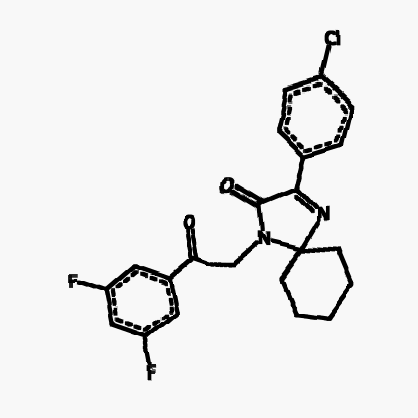 O=C(CN1C(=O)C(c2ccc(Cl)cc2)=NC12CCCCC2)c1cc(F)cc(F)c1